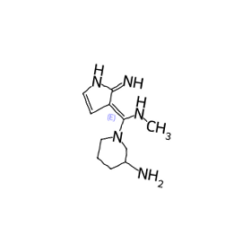 CN/C(=C1/C=CNC1=N)N1CCCC(N)C1